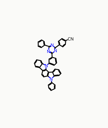 N#Cc1ccc(-c2nc(-c3ccccc3)nc(-c3cccc(-n4c5ccccc5c5ccc6c(c7ccccc7n6-c6ccccc6)c54)c3)n2)cc1